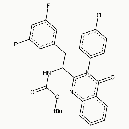 CC(C)(C)OC(=O)NC(Cc1cc(F)cc(F)c1)c1nc2ccccc2c(=O)n1-c1ccc(Cl)cc1